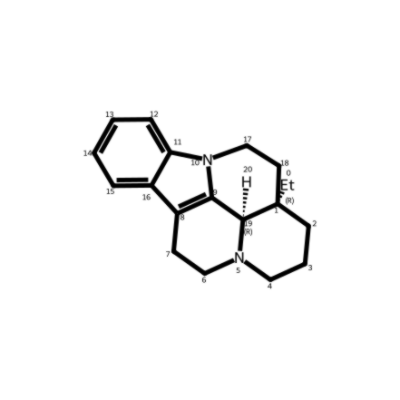 CC[C@@]12CCCN3CCc4c(n(c5ccccc45)CC1)[C@H]32